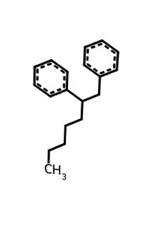 CCCCCC(Cc1ccccc1)c1ccccc1